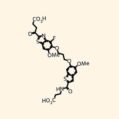 COc1cc2cc(C(=O)NCCC(=O)O)sc2cc1OCCCOc1c(OC)cc2sc(C(=O)CCC(=O)O)nc2c1F